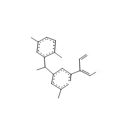 CCc1ccc(C)c(C(C)c2cc(C)nc(/C(C=N)=C/NC)c2)c1